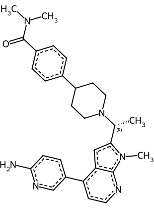 C[C@H](c1cc2c(-c3ccc(N)nc3)ccnc2n1C)N1CCC(c2ccc(C(=O)N(C)C)cc2)CC1